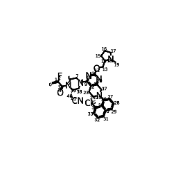 C=C(F)C(=O)N1CCN(c2nc(OCC3CCCN3C)nc3c2CCN(c2cccc4cccc(Cl)c24)C3)C[C@@H]1CC#N